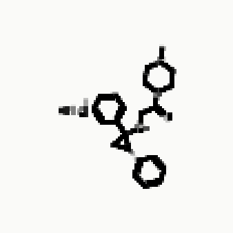 CN1CCN(C(=O)CN[C@]2(c3ccccc3)C[C@H]2c2ccccc2)CC1.Cl.Cl